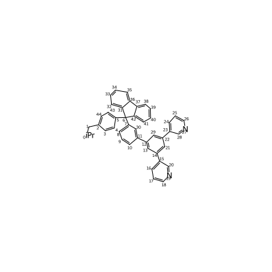 CC(C)Cc1ccc(C2(c3cccc(-c4cc(-c5cccnc5)cc(-c5cccnc5)c4)c3)c3ccccc3-c3ccccc32)cc1